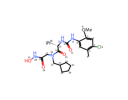 COc1cc(Cl)c(C)cc1NC(=O)N[C@H](C(=O)N(CC(=O)NO)CC1CCCC1)C(C)C